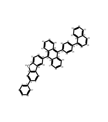 c1ccc(-c2ccc3c(c2)oc2ccc(-c4c5ccccc5c(-c5ccc(-c6cccc7ccccc67)cc5)c5ccccc45)cc23)cc1